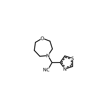 N#CC(c1cscn1)N1CCCOCC1